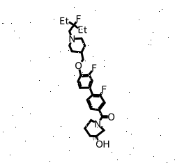 CCC(F)(CC)CN1CCC(COc2ccc(-c3ccc(C(=O)N4CCC[C@H](O)C4)cc3F)cc2F)CC1